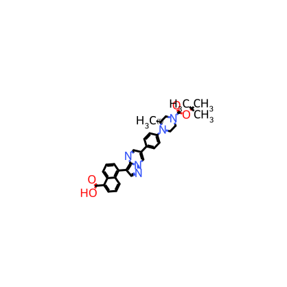 C[C@H]1CN(C(=O)OC(C)(C)C)CCN1c1ccc(-c2cnc3c(-c4cccc5c(C(=O)O)cccc45)cnn3c2)cc1